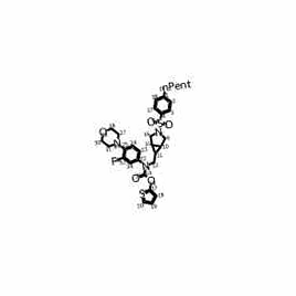 CCCCCc1ccc(S(=O)(=O)N2CC3C(CN(C(=O)Oc4cccs4)c4ccc(N5CCOCC5)c(F)c4)C3C2)cc1